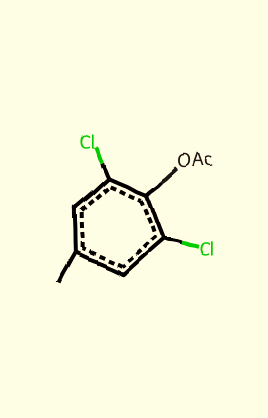 CC(=O)Oc1c(Cl)cc(C)cc1Cl